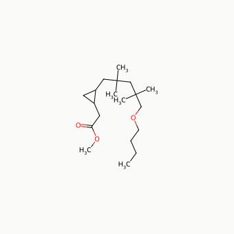 CCCCOCC(C)(C)CC(C)(C)CC1CC1CC(=O)OC